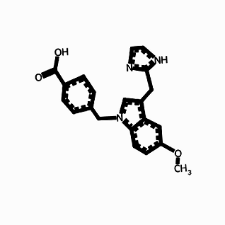 COc1ccc2c(c1)c(Cc1ncc[nH]1)cn2Cc1ccc(C(=O)O)cc1